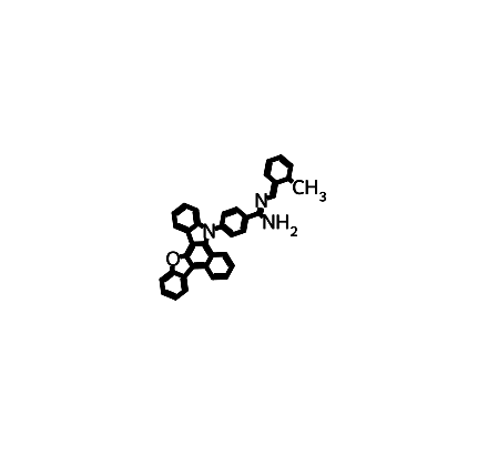 CC1C=CC=C/C1=C\N=C(/N)c1ccc(-n2c3ccccc3c3c4oc5ccccc5c4c4ccccc4c32)cc1